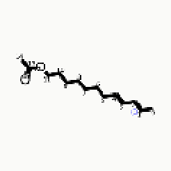 C/C=C/C=CCCCCCCCOC(C)=O